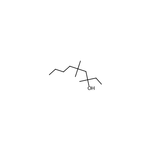 CCCCC(C)(C)CC(C)(O)CC